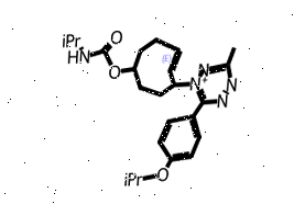 Cc1nnc(-c2ccc(OC(C)C)cc2)[n+](C2/C=C/CCC(OC(=O)NC(C)C)CC2)n1